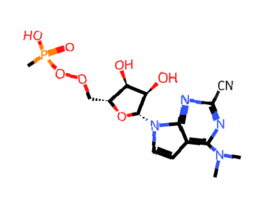 CN(C)c1nc(C#N)nc2c1ccn2[C@@H]1O[C@H](COOP(C)(=O)O)[C@@H](O)[C@H]1O